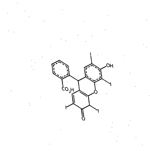 O=C(O)c1ccccc1C1C2=C(Oc3c1cc(I)c(O)c3I)C(I)C(=O)C(I)=C2